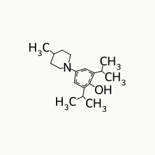 CC1CCN(c2cc(C(C)C)c(O)c(C(C)C)c2)CC1